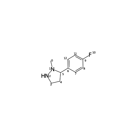 CN1NCCC1c1ccc(F)cc1